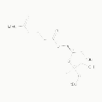 CNC(=O)CCCC(=O)OC[C@@H](CC(C)(C)C)O[C@@](C)(CO)OC(C)(C)C